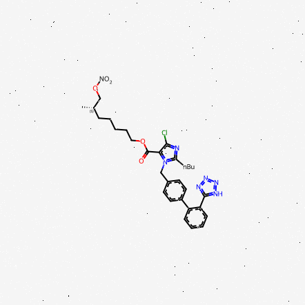 CCCCc1nc(Cl)c(C(=O)OCCCCC[C@H](C)CO[N+](=O)[O-])n1Cc1ccc(-c2ccccc2-c2nnn[nH]2)cc1